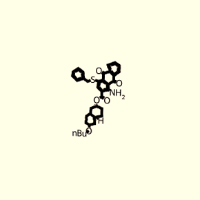 CCCCOC1CCC2C[C@H](OC(=O)c3cc(SCc4ccccc4)c4c(c3N)C(=O)c3ccccc3C4=O)CC[C@@H]2C1